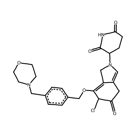 O=C1CCC(N2C=C3CC(=O)C(Cl)C(OCc4ccc(CN5CCOCC5)cc4)=C3C2)C(=O)N1